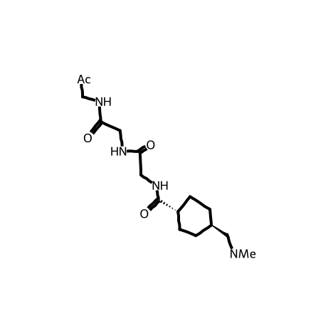 CNC[C@H]1CC[C@H](C(=O)NCC(=O)NCC(=O)NCC(C)=O)CC1